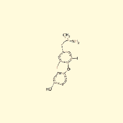 C[C@H](N)Cc1cc(I)c(Oc2ccc(O)cc2)c(I)c1